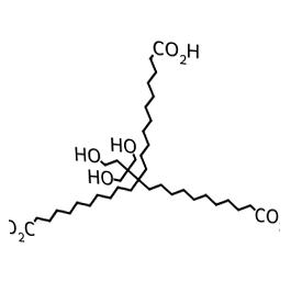 O=C(O)CCCCCCCCCCC(CCCCCCCCCCC(=O)O)(CCCCCCCCCCC(=O)O)C(CO)(CO)CCO